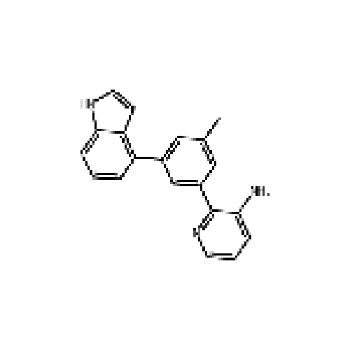 Cc1cc(-c2ncccc2N)cc(-c2cccc3[nH]ccc23)c1